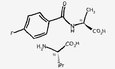 CC(C)[C@H](N)C(=O)O.C[C@H](NC(=O)c1ccc(F)cc1)C(=O)O